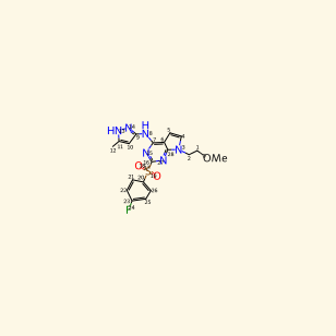 COCCn1ccc2c(Nc3cc(C)[nH]n3)nc(S(=O)(=O)c3ccc(F)cc3)nc21